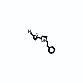 N#Cc1ccc(-c2ccn(CCc3ccccc3)n2)s1